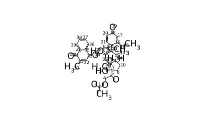 CC(=O)OCC(=O)[C@@]1(O)CC[C@H]2[C@@H]3C[C@H](C)C4=CC(=O)C=C[C@]4(C)[C@H]3[C@@H](O)C[C@@]21C.CC1=CC(=O)c2ccccc2C1=O